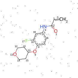 C=CC(=O)Nc1ccc(OC2CCOCC2)c(F)c1